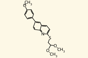 COc1ccc(-c2ccc3nc(SCC(OC)OC)ccc3c2)cc1